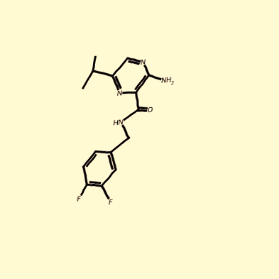 CC(C)c1cnc(N)c(C(=O)NCc2ccc(F)c(F)c2)n1